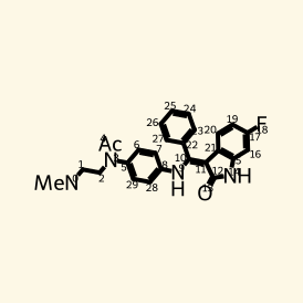 CNCCN(C(C)=O)c1ccc(N/C(=C2\C(=O)Nc3cc(F)ccc32)c2ccccc2)cc1